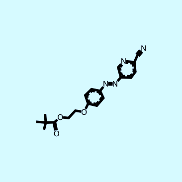 CC(C)(C)C(=O)OCCOc1ccc(/N=N/c2ccc(C#N)nc2)cc1